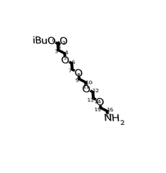 CC(C)COC(=O)CCOCCOCCOCCOCCN